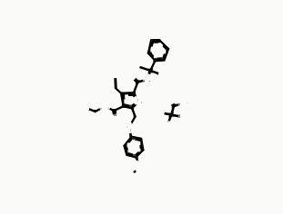 CCOC(=O)c1c(CNc2ccc(OC)cc2)[nH]c(C(=O)NC(C)(C)c2ccccc2)c1CC.O=C(O)C(F)(F)F